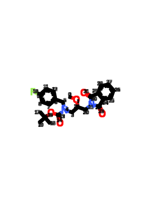 COC(CN(Cc1ccc(F)cc1)C(=O)OC(C)(C)C)CN1C(=O)c2ccccc2C1=O